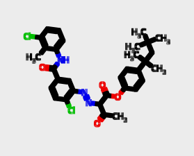 CC(=O)C(N=Nc1cc(C(=O)Nc2cccc(Cl)c2C)ccc1Cl)C(=O)Oc1ccc(C(C)(C)CC(C)(C)C)cc1